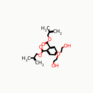 C=C(C)COC(=O)c1ccccc1C(=O)OCC(=C)C.OCCOCCO